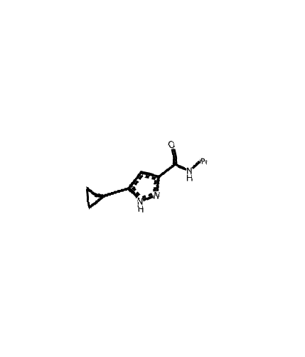 CC(C)NC(=O)c1cc(C2CC2)[nH]n1